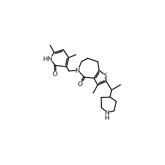 Cc1cc(C)c(CN2CCCc3sc(C(C)C4CCNCC4)c(C)c3C2=O)c(=O)[nH]1